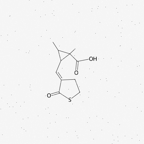 CC1C(/C=C2\CCSC2=O)C1(C)C(=O)O